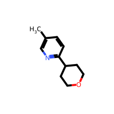 Cc1ccc(C2CCOCC2)nc1